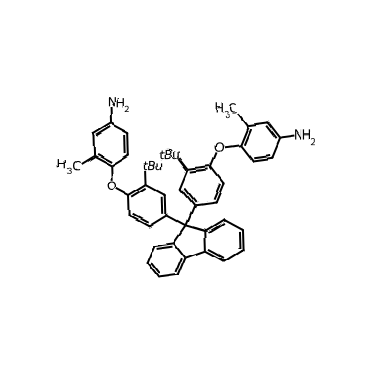 Cc1cc(N)ccc1Oc1ccc(C2(c3ccc(Oc4ccc(N)cc4C)c(C(C)(C)C)c3)c3ccccc3-c3ccccc32)cc1C(C)(C)C